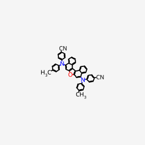 Cc1ccc(N(c2ccc(C#N)cc2)c2cc3oc4cc(N(c5ccc(C)cc5)c5ccc(C#N)cc5)c5ccccc5c4c3c3ccccc23)cc1